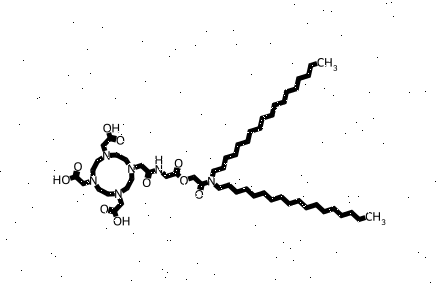 CCCCCCCCCCCCCCCCCCN(CCCCCCCCCCCCCCCCCC)C(=O)COC(=O)CNC(=O)CN1CCN(CC(=O)O)CCN(CC(=O)O)CCN(CC(=O)O)CC1